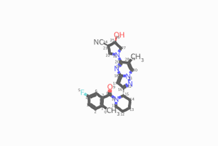 Cc1ccc(F)cc1C(=O)N1CCCC[C@H]1c1cc2nc(N3C[C@@H](C#N)[C@@H](O)C3)c(C)cn2n1